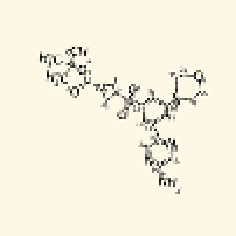 CC(C)(C)OC(=O)N1CC(S(=O)(=O)c2cc(-c3cnc(N)cn3)cc(N3CCOCC3)c2)C1